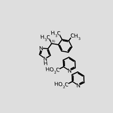 Cc1cccc([C@H](C)c2c[nH]cn2)c1C.O=C(O)c1ccccn1.O=C(O)c1ccccn1